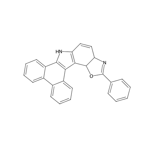 C1=CC2N=C(c3ccccc3)OC2c2c1[nH]c1c3ccccc3c3ccccc3c21